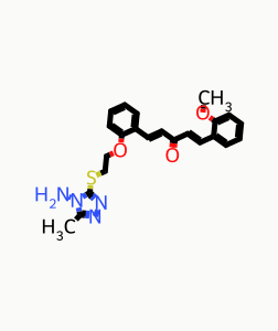 COc1ccccc1C=CC(=O)C=Cc1ccccc1OCCSc1nnc(C)n1N